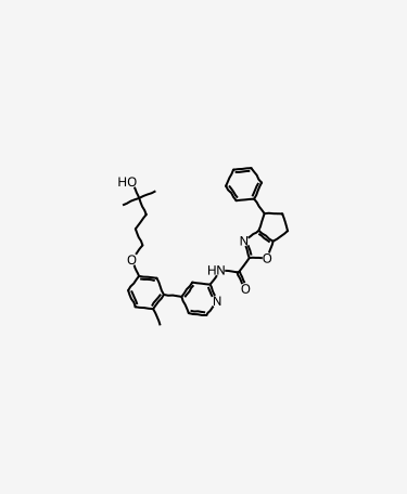 Cc1ccc(OCCCC(C)(C)O)cc1-c1ccnc(NC(=O)c2nc3c(o2)CCC3c2ccccc2)c1